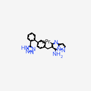 CCCc1nc2ccnn2c(N)c1Cc1ccc(-c2ccccc2-c2nnn[nH]2)cc1